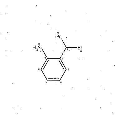 CCC(c1ccccc1[SiH3])C(C)C